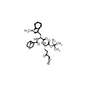 Cn1cc(C[C@H](NC(=O)C2CN3CCC2CC3)C(=O)N[C@@H](CCC(=O)C=[N+]=[N-])C(=O)OC(C)(C)C)c2ccccc21